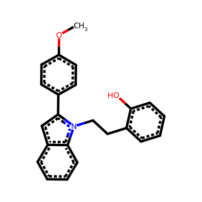 COc1ccc(-c2cc3ccccc3n2CCc2ccccc2O)cc1